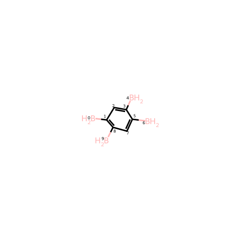 Bc1cc(B)c(B)cc1B